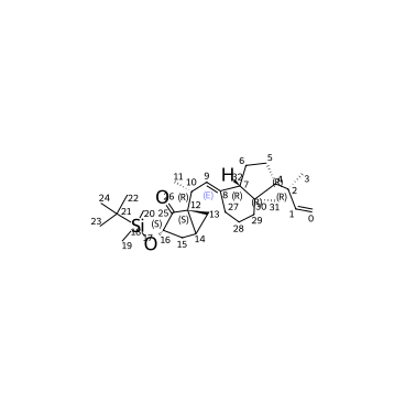 C=C[C@@H](C)[C@H]1CC[C@H]2/C(=C/[C@@H](C)[C@]34CC3C[C@H](O[Si](C)(C)C(C)(C)C)C4=O)CCC[C@]12C